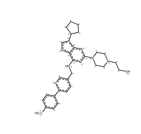 O=C(O)c1ccc(-c2ccc(CNc3nc(N4CCN(CCO)CC4)nc4c3ncn4C3CCCC3)cn2)cc1